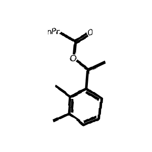 CCCC(=O)OC(C)c1cccc(C)c1C